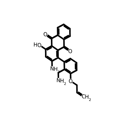 C=CCOc1cccc(-c2c(N)cc(O)c3c2C(=O)c2ccccc2C3=O)c1CN